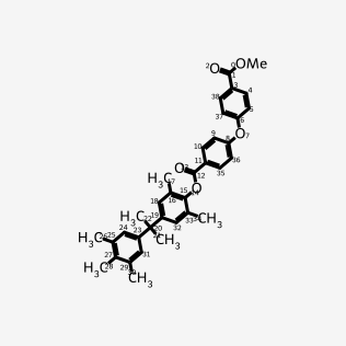 COC(=O)c1ccc(Oc2ccc(C(=O)Oc3c(C)cc(C(C)(C)c4cc(C)c(C)c(C)c4)cc3C)cc2)cc1